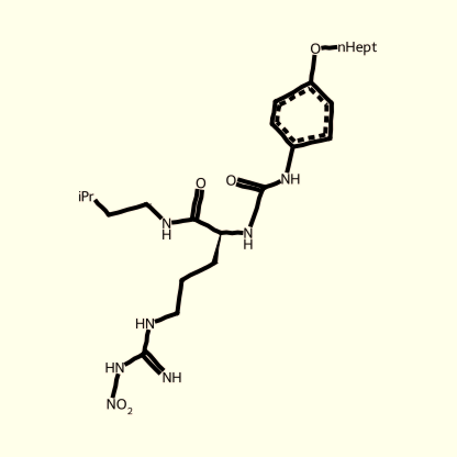 CCCCCCCOc1ccc(NC(=O)N[C@@H](CCCNC(=N)N[N+](=O)[O-])C(=O)N[CH]CC(C)C)cc1